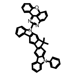 CC1(C)c2cc3c(cc2-c2cc4c5ccccc5n(-c5nc6c7c(cccc7n5)Oc5ccccc5-6)c4cc21)c1ccccc1n3-c1ccccc1